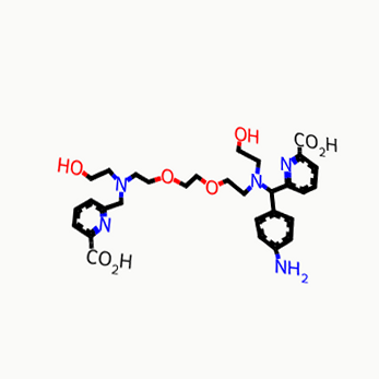 Nc1ccc(C(c2cccc(C(=O)O)n2)N(CCO)CCOCCOCCN(CCO)Cc2cccc(C(=O)O)n2)cc1